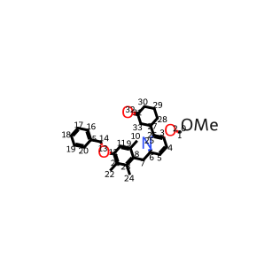 COCOc1ccc(Cc2c(C)cc(OCc3ccccc3)c(C)c2C)nc1C1CCCC(=O)C1